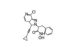 O=C(NO)C(Cc1ccccc1)N1N=C2C(Cl)=NC=CC2C1C#CC1CC1